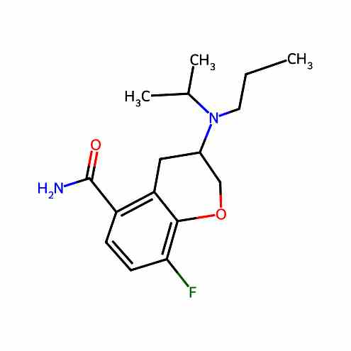 CCCN(C(C)C)C1COc2c(F)ccc(C(N)=O)c2C1